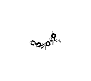 C[C@@H](NC(=O)[C@H]1CC[C@H](NS(=O)(=O)c2ccc(N3CCOCC3)nc2)CC1)c1ccc(F)cc1